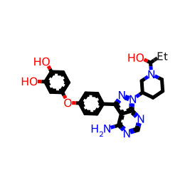 CCC(O)N1CCCC(n2nc(-c3ccc(Oc4ccc(O)c(O)c4)cc3)c3c(N)ncnc32)C1